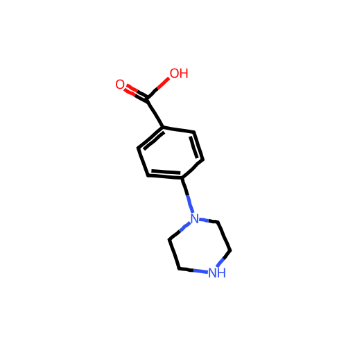 O=C(O)c1ccc(N2CCNCC2)cc1